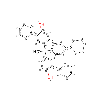 CC(c1ccc(C2CCCCC2)cc1)(c1ccc(O)c(-c2ccccc2)c1)c1ccc(O)c(-c2ccccc2)c1